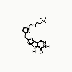 C[Si](C)(C)CCOCn1ccc(Cc2nc3[nH]c4c(=O)[nH]ncc4c3s2)n1